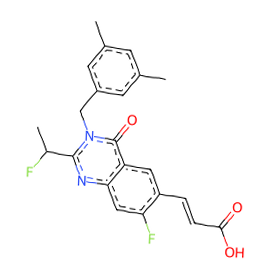 Cc1cc(C)cc(Cn2c(C(C)F)nc3cc(F)c(/C=C/C(=O)O)cc3c2=O)c1